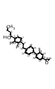 CCCC(O)c1ccc(CCc2ccc(-c3ccc(C4CO4)cc3F)cc2)c(F)c1F